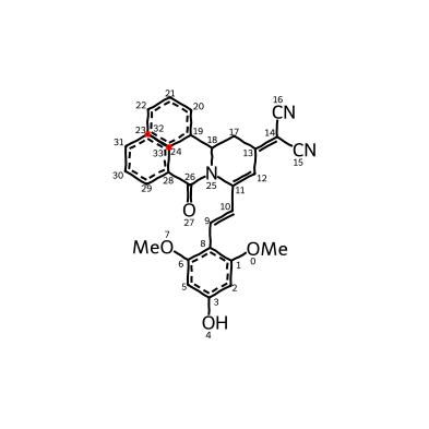 COc1cc(O)cc(OC)c1C=CC1=CC(=C(C#N)C#N)CC(c2ccccc2)N1C(=O)c1ccccc1